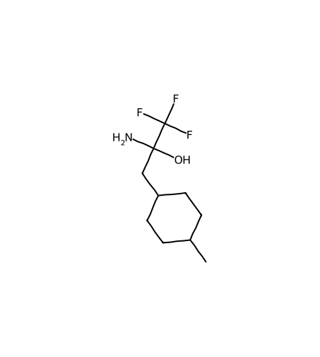 CC1CCC(CC(N)(O)C(F)(F)F)CC1